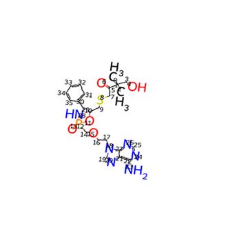 CC(C)(CO)C(=O)CSCCOP(=O)(COCCn1cnc2c(N)ncnc21)NCc1ccccc1